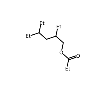 CCC(=O)OCC(CC)CC(CC)CC